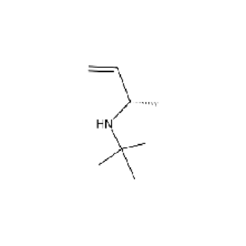 C=C[C@H](C)NC(C)(C)C